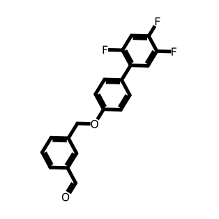 O=Cc1cccc(COc2ccc(-c3cc(F)c(F)cc3F)cc2)c1